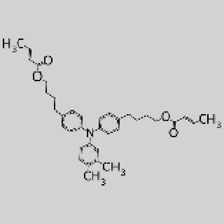 C/C=C/C(=O)OCCCCc1ccc(N(c2ccc(CCCCOC(=O)/C=C/C)cc2)c2ccc(C)c(C)c2)cc1